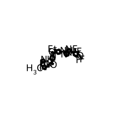 CCc1cc(Nc2nccn3c(-c4ccc(OC(F)F)c(F)c4F)cnc23)ccc1C(=O)N1CCC(C(=O)NCC2CC[N+](C)(CC3CNC3)C2)CC1